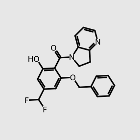 O=C(c1c(O)cc(C(F)F)cc1OCc1ccccc1)N1CCc2ncccc21